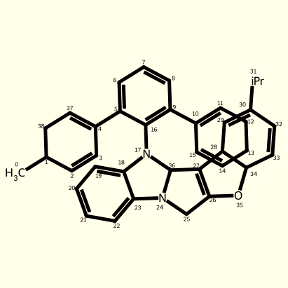 CC1C=CC(c2cccc(C3=CCCC=C3)c2N2c3ccccc3N3CC4=C(C5C=C(C(C)C)C=CC5O4)C32)=CC1